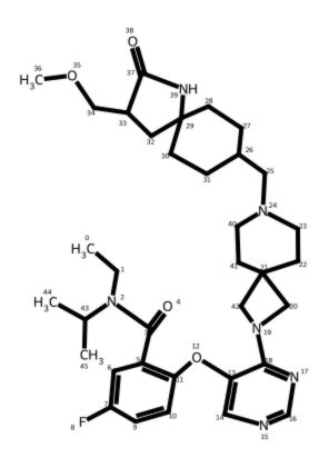 CCN(C(=O)c1cc(F)ccc1Oc1cncnc1N1CC2(CCN(CC3CCC4(CC3)CC(COC)C(=O)N4)CC2)C1)C(C)C